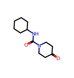 O=C1CCN(C(=O)NC2CCCCC2)CC1